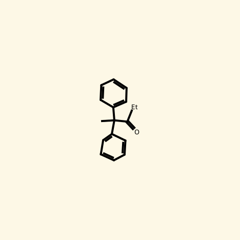 CCC(=O)C(C)(c1ccccc1)c1ccccc1